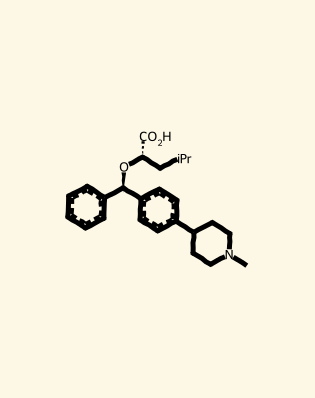 CC(C)C[C@H](O[C@H](c1ccccc1)c1ccc(C2CCN(C)CC2)cc1)C(=O)O